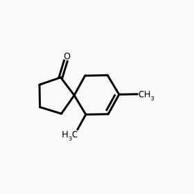 CC1=CC(C)C2(CCCC2=O)CC1